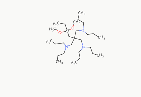 CCCN(CCC)CC(CN(CCC)CCC)(CN(CCC)CCC)C[Si](CC)(OC)OC